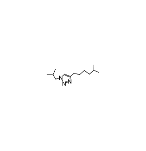 CC(C)CCCCc1cn(CC(C)C)nn1